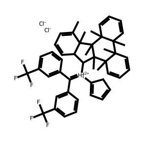 CC1=CC=CC2[CH]([Hf+2]([C]3=CC=CC3)=[C](c3cccc(C(F)(F)F)c3)c3cccc(C(F)(F)F)c3)C3(C)C4(C)C=CC=CC4(C)C4(C)C=CC=CC4(C)C3(C)C12C.[Cl-].[Cl-]